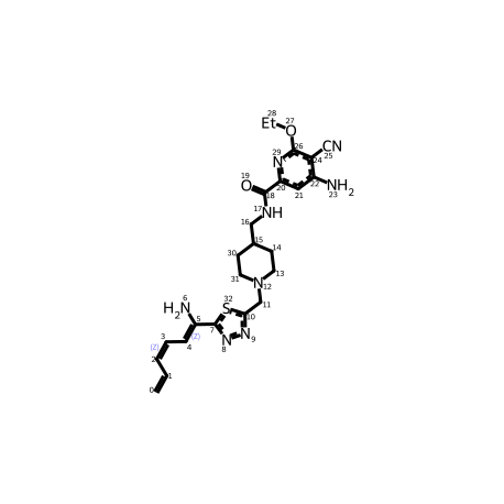 C=C/C=C\C=C(/N)c1nnc(CN2CCC(CNC(=O)c3cc(N)c(C#N)c(OCC)n3)CC2)s1